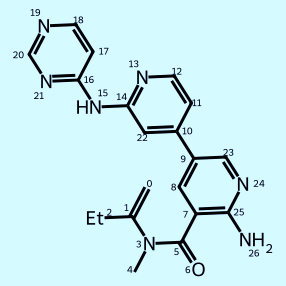 C=C(CC)N(C)C(=O)c1cc(-c2ccnc(Nc3ccncn3)c2)cnc1N